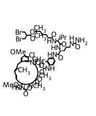 COc1cc2cc(c1Cl)N(C)C(=O)C[C@H](OC(=O)Nc1ccc(NC(=O)[C@H](CCCNC(N)=O)NC(=O)[C@@H](NC(=O)CCCCC(C)(C)OC(=O)C(CBr)CBr)C(C)C)cc1C(F)(F)F)[C@]1(C)O[C@H]1[C@H](C)[C@@H]1C[C@@](O)(NC(=O)O1)[C@H](OC)/C=C/C=C(\C)C2